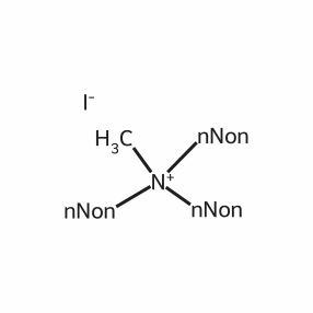 CCCCCCCCC[N+](C)(CCCCCCCCC)CCCCCCCCC.[I-]